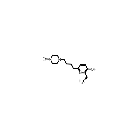 C=Cc1nc(CCCCN2CCN(CC)CC2)ccc1O